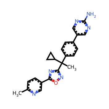 Cc1ccc(-c2nc(C(C)(c3ccc(-c4cnc(N)nc4)cc3)C3CC3)no2)cn1